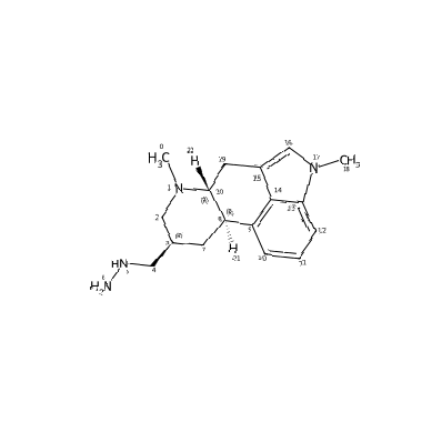 CN1C[C@H](CNN)C[C@@H]2c3cccc4c3c(cn4C)C[C@H]21